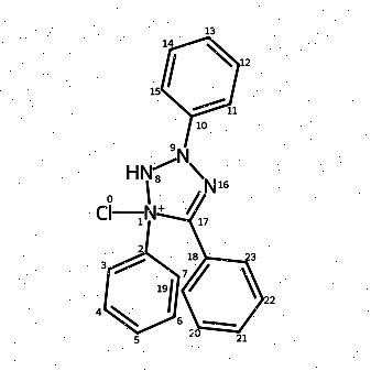 Cl[N+]1(c2ccccc2)NN(c2ccccc2)N=C1c1ccccc1